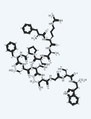 C[C@H](NC(=O)[C@H](CCCNC(=N)N)NC(=O)[C@@H](N)Cc1ccccc1)C(=O)N[C@@H](CS)C(=O)N1CCC[C@H]1C(=O)N[C@@H](Cc1ccccc1)C(=O)N[C@@H](CC(=O)O)C(=O)N[C@@H](CS)C(=O)N[C@H](C(=O)NCC(=O)N[C@@H](CO)C(=O)N[C@@H](Cc1c[nH]c2ccccc12)C(=O)O)[C@@H](C)O